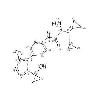 Cn1ncc(C2(O)CC2)c1-c1ccc(NC(=O)[C@@H](N)C(C2CC2)C2CC2)cc1